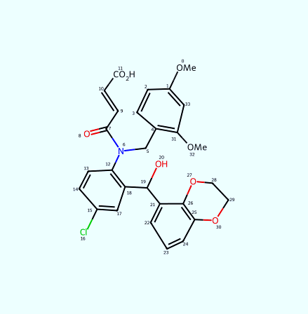 COc1ccc(CN(C(=O)/C=C/C(=O)O)c2ccc(Cl)cc2C(O)c2cccc3c2OCCO3)c(OC)c1